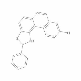 Clc1ccc2c(ccc3ccc4c(c32)NC(c2ccccc2)S4)c1